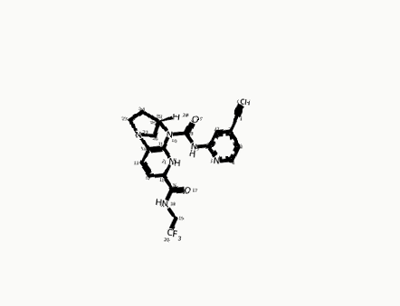 C#Cc1ccnc(NC(=O)N2C3=C(C=CC(C(=O)NCC(F)(F)F)N3)N3CC[C@H]2C3)c1